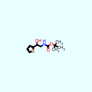 CC(C)(C)OC(=O)NCC(O)c1cccs1